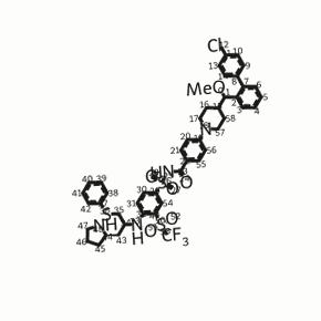 COC(c1ccccc1-c1ccc(Cl)cc1)C1CCN(c2ccc(C(=O)NS(=O)(=O)c3ccc(NC(CSc4ccccc4)C[C@H]4CCCN4)c(S(=O)(=O)C(F)(F)F)c3)cc2)CC1